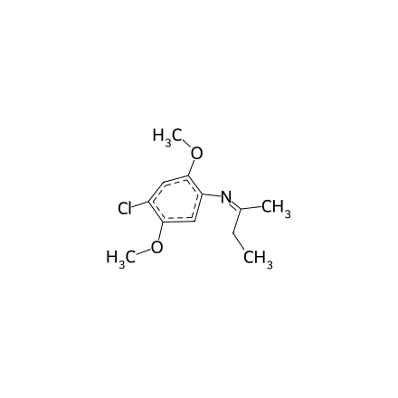 CCC(C)=Nc1cc(OC)c(Cl)cc1OC